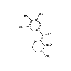 CCC(=C1SCCN(C)C1=O)c1cc(C(C)(C)C)c(O)c(C(C)(C)C)c1